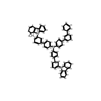 CC1CC=Cc2c1n(-c1cccc(-c3ccc(N(c4ccc(-c5cccc(-c6ccccc6)c5)cc4)c4ccc(C5C=CC=C(n6c7ccccc7c7ccccc76)C5)cc4)cc3)c1)c1ccccc21